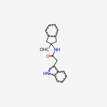 O=CC1(NC(=O)Cc2c[nH]c3ccccc23)Cc2ccccc2C1